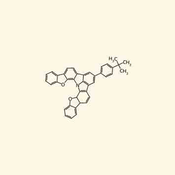 CC(C)(C)c1ccc(-c2cc3c4c(n5c3c(c2)c2ccc3c6ccccc6oc3c25)C2Oc3ccccc3C2C=C4)cc1